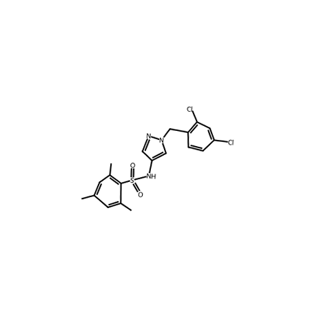 Cc1cc(C)c(S(=O)(=O)Nc2cnn(Cc3ccc(Cl)cc3Cl)c2)c(C)c1